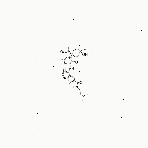 Cc1cc(Nc2ncnc3sc(C(=O)NCCN(C)C)cc23)c(=O)n2c1C(=O)NC21CCC(O)(CF)CC1